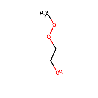 BOOCCO